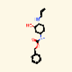 C=CCN[C@@H]1CC[C@@H](NC(=O)OCc2ccccc2)C[C@H]1O